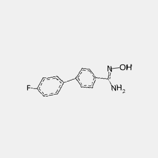 N/C(=N\O)c1ccc(-c2ccc(F)cc2)cc1